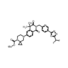 CC(C)(C)OC(=O)N1CCN(c2ccc3c(c2)C(C)(C)C(=O)N(Cc2ccc(-c4nnc(C(F)F)o4)cn2)C3=O)CC12CC2